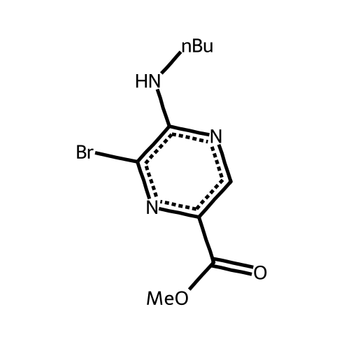 CCCCNc1ncc(C(=O)OC)nc1Br